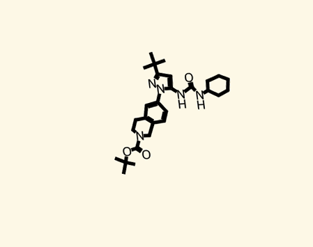 CC(C)(C)OC(=O)N1CCc2cc(-n3nc(C(C)(C)C)cc3NC(=O)NC3CCCCC3)ccc2C1